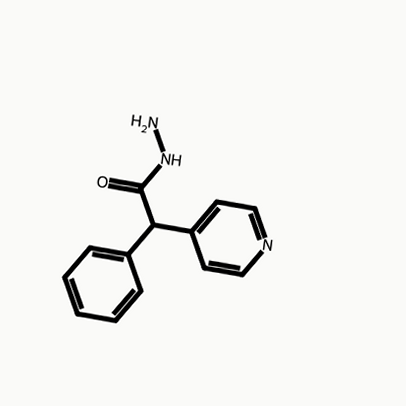 NNC(=O)C(c1ccccc1)c1ccncc1